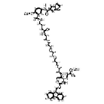 COc1ccc(NC(=O)c2cn3ccsc3n2)cc1C(=O)NCCCC(=O)NCCOCCOCCOCCOCCNC(=O)[C@@H](CCC(=O)OC(C)(C)C)NC(=O)OCC1c2ccccc2-c2ccccc21